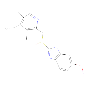 COc1c(C)cnc(C[S+]([O-])c2nc3ccc(OI)cc3[nH]2)c1C